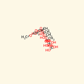 C=CC(=O)O.C=CC(=O)O.C=CC(=O)O.C=CC(=O)O.C=CC(=O)O.CCCOCCC.OCC(CO)(CO)CO.OCC(CO)(CO)CO